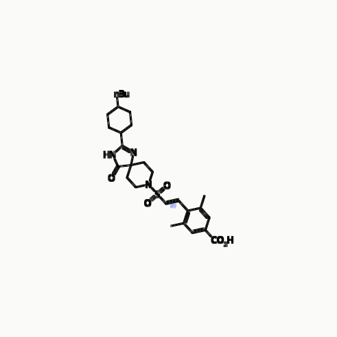 CCCCC1CCC(C2=NC3(CCN(S(=O)(=O)/C=C/c4c(C)cc(C(=O)O)cc4C)CC3)C(=O)N2)CC1